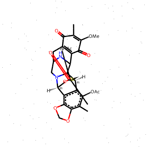 COC1=C(C)C(=O)C2=C(C1=O)C1NC(C2)CN2C1[C@@H]1SCC(NC(C)=O)C(=O)OC[C@H]2c2c3c(c(C)c(OC(C)=O)c21)OCO3